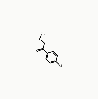 O=C(COC(F)(F)F)c1ccc(Cl)cc1